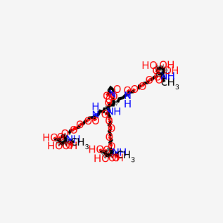 CC(=O)N[C@H]1[C@H](OCCOCCOCCOCC(=O)NCCCC[C@H](CC(=O)[C@H](CCCCNC(=O)COCCOCCOCCO[C@@H]2O[C@H](CO)[C@H](O)[C@H](O)[C@H]2NC(C)=O)NC(=O)COCCOCCOCCO[C@@H]2O[C@H](CO)[C@H](O)[C@H](O)[C@H]2NC(C)=O)C(=O)ON2C(=O)CCC2=O)O[C@H](CO)[C@H](O)[C@@H]1O